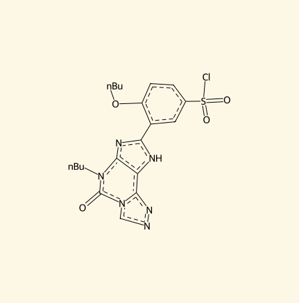 CCCCOc1ccc(S(=O)(=O)Cl)cc1-c1nc2c([nH]1)c1nncn1c(=O)n2CCCC